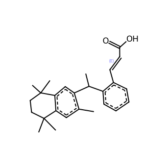 Cc1cc2c(cc1C(C)c1ccccc1/C=C/C(=O)O)C(C)(C)CCC2(C)C